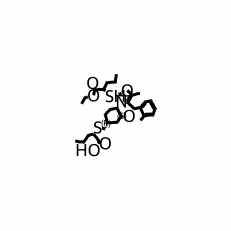 CCCC(S)C(=O)OCC.CCCC(SC[C@@H]1CCC[C@H](OC(c2ccccc2C)c2ncoc2C)C1)C(=O)O